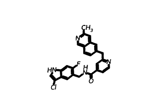 Cc1cc2cc(Cc3cc(C(=O)NCc4cc5c(Cl)c[nH]c5cc4F)ccn3)ccc2cn1